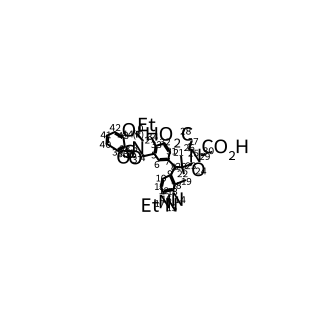 CC[C@@H]1CN(Cc2cc(C(c3ccc4c(nnn4CC)c3C)C(C)(C)C(=O)N(CCC(=O)O)CC(=O)O)ccc2C)S(=O)(=O)c2ccccc2O1